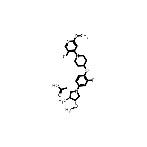 COc1cc(N2CCC(Oc3ccc(N4C[C@H](OC)[C@@H](C)[C@@H]4CC(=O)O)cc3F)CC2)c(Cl)cn1